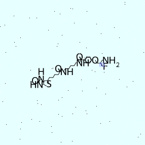 NC/C(=C\F)COc1ccc(C(=O)NCCCCCNC(=O)CCCCC2SCC3NC(=O)NC32)cc1